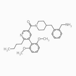 CCCCc1ncc(C(=O)N2CCC(Cc3ccccc3CN)CC2)cc1-c1c(OC)cccc1OC